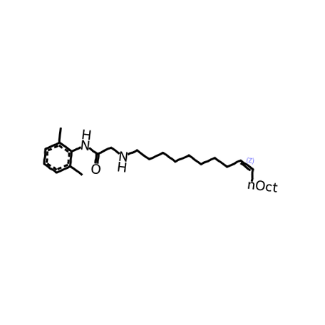 CCCCCCCC/C=C\CCCCCCCCNCC(=O)Nc1c(C)cccc1C